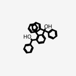 OC(c1ccccc1)c1cccc(C(O)(c2ccccc2)c2ccccc2)c1-c1ccccc1